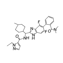 CCn1nccc1C(=O)NC(c1nc2c(F)c(-c3ccccc3C(=O)N(C)C)c(F)cc2[nH]1)C1CCC(C)CC1